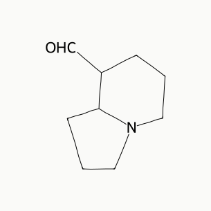 O=CC1CCCN2CCCC12